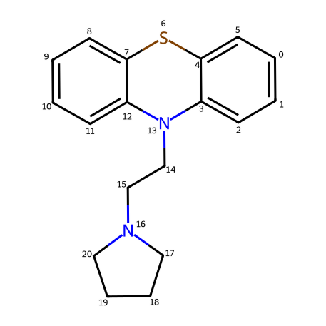 c1ccc2c(c1)Sc1ccccc1N2CCN1CCCC1